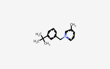 Cc1ccc[n+](Cc2cccc(C(C)(C)C)c2)c1